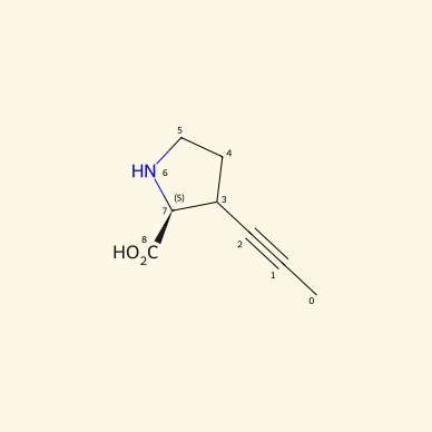 CC#CC1CCN[C@@H]1C(=O)O